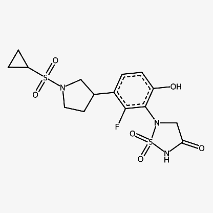 O=C1CN(c2c(O)ccc(C3CCN(S(=O)(=O)C4CC4)C3)c2F)S(=O)(=O)N1